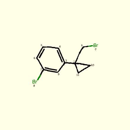 BrCC1(c2cccc(Br)c2)CC1